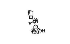 CC(C)C[C@H]1C[C@@H](c2onc([C@@H](CCCO)CC(=O)OC(C)(C)C)c2C2CC2)C1